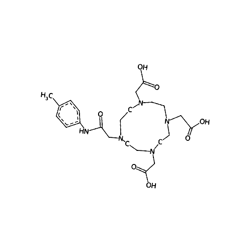 Cc1ccc(NC(=O)CN2CCN(CC(=O)O)CCN(CC(=O)O)CCN(CC(=O)O)CC2)cc1